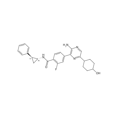 Nc1ncc(C2CCC(O)CC2)nc1-c1ccc(C(=O)N[C@@H]2C[C@H]2c2ccccc2)c(F)c1